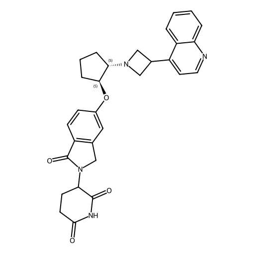 O=C1CCC(N2Cc3cc(O[C@H]4CCC[C@@H]4N4CC(c5ccnc6ccccc56)C4)ccc3C2=O)C(=O)N1